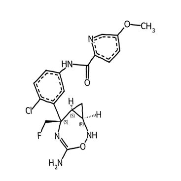 COc1ccc(C(=O)Nc2ccc(Cl)c([C@@]3(CF)N=C(N)ON[C@@H]4C[C@@H]43)c2)nc1